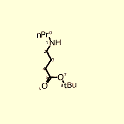 CCCNCCCC(=O)OC(C)(C)C